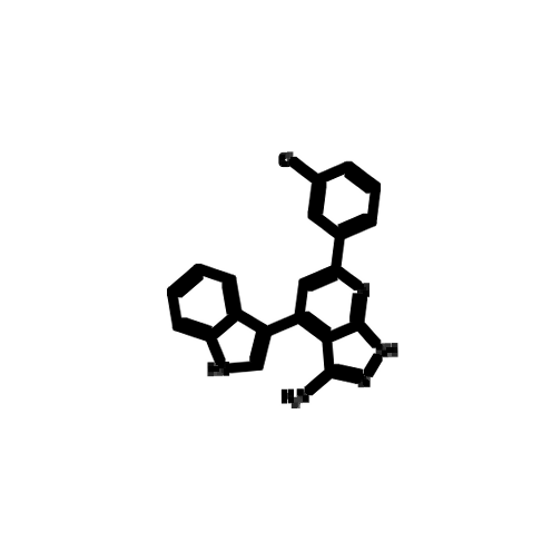 Nc1n[nH]c2nc(-c3cccc(Cl)c3)cc(-c3c[nH]c4ccccc34)c12